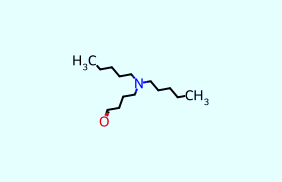 CCCCCN(CCCC=O)CCCCC